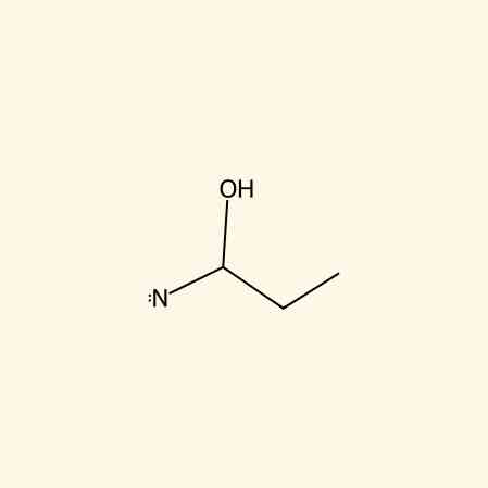 CCC([N])O